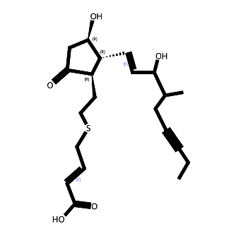 CCC#CCC(C)C(O)/C=C/[C@H]1[C@H](O)CC(=O)[C@@H]1CCSC/C=C/C(=O)O